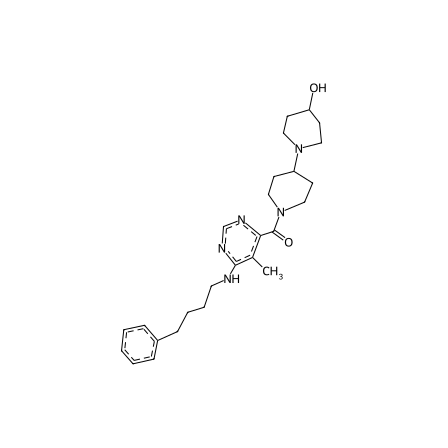 Cc1c(NCCCCc2ccccc2)ncnc1C(=O)N1CCC(N2CCC(O)CC2)CC1